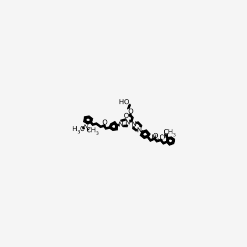 CN(C)c1ccccc1CCCC(=O)Cc1ccc(N2CCN(C(CC(=O)OCCO)N3CCN(c4ccc(CC(=O)CCCc5ccccc5N(C)C)cc4)CC3)CC2)cc1